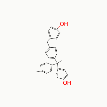 Cc1ccc(C(C)(c2ccc(O)cc2)c2ccc(Cc3ccc(O)cc3)cc2)cc1